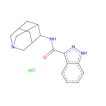 Cl.O=C(NC1C2CC3CC1CN(C3)C2)c1n[nH]c2ccccc12